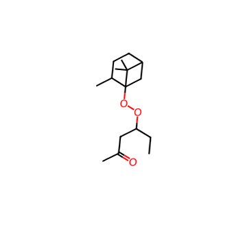 CCC(CC(C)=O)OOC12CC(CCC1C)C2(C)C